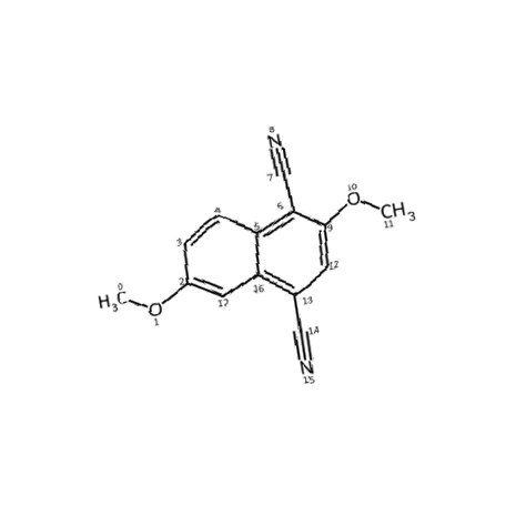 COc1ccc2c(C#N)c(OC)cc(C#N)c2c1